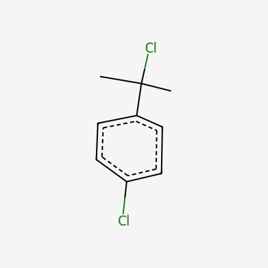 CC(C)(Cl)c1ccc(Cl)cc1